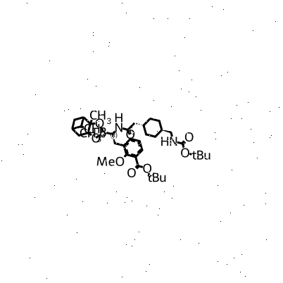 COc1c(C[C@H](NC(=O)C[C@H]2CC[C@H](CNC(=O)OC(C)(C)C)CC2)B2OC3CC4CC(C4(C)C)C3(C)O2)cccc1C(=O)OC(C)(C)C